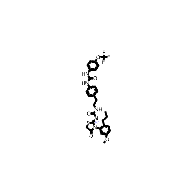 CCCc1ccc(OC)cc1N1C(=O)CS/C1=N\C(=O)NCCc1ccc(NC(=O)Nc2ccc(OC(F)(F)F)cc2)cc1